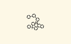 CC1(c2ccccc2)c2ccccc2-c2c(N(c3cccc(-c4cccc(-c5ccccc5)c4)c3)c3ccc4ccccc4c3)cccc21